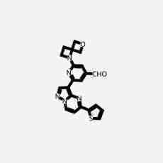 O=Cc1cc(-c2cnn3ccc(-c4cccs4)nc23)nc(N2CCC23COC3)c1